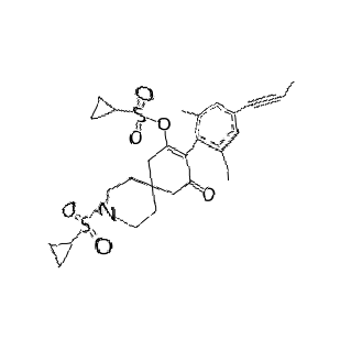 CC#Cc1cc(C)c(C2=C(OS(=O)(=O)C3CC3)CC3(CCN(S(=O)(=O)C4CC4)CC3)CC2=O)c(C)c1